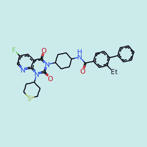 CCc1cc(C(=O)NC2CCC(n3c(=O)c4cc(F)cnc4n(C4CCSCC4)c3=O)CC2)ccc1-c1ccccc1